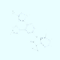 O=C(Nc1ccc(-n2cc(C(F)F)cn2)c(-c2nnn[nH]2)c1)C1(c2cccc(Cl)c2)CC1